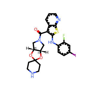 O=C(c1c(Nc2ccc(I)cc2F)sc2ncccc12)N1C[C@@H]2OC3(CCNCC3)O[C@@H]2C1